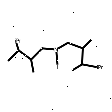 CC(C)C(C)C(C)CN(I)CC(C)C(C)C(C)C